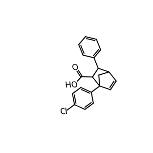 O=C(O)C1C(c2ccccc2)C2C=CC1(c1ccc(Cl)cc1)C2